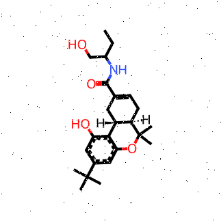 CCC(CO)NC(=O)C1=CC[C@@H]2[C@@H](C1)c1c(O)cc(C(C)(C)C)cc1OC2(C)C